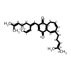 C/C=C\C(=C/C1=CC(=O)C2=C(CC=CC(CCC=C(C)C)=C2)C1=O)CCC=C(C)C